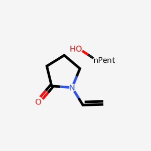 C=CN1CCCC1=O.CCCCCO